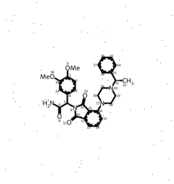 COc1ccc(C(C(N)=O)N2C(=O)c3cccc(N4CCN([C@H](C)c5ccccc5)CC4)c3C2=O)cc1OC